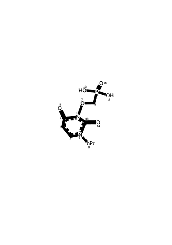 CCCn1ccc(=O)n(OCP(=O)(O)O)c1=O